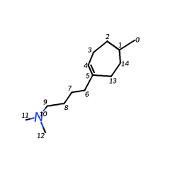 CC1CCC=C(CCCCN(C)C)CC1